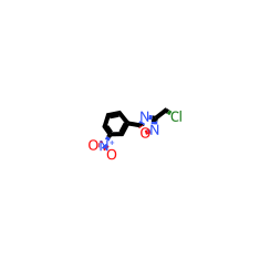 O=[N+]([O-])c1cccc(-c2nc(CCl)no2)c1